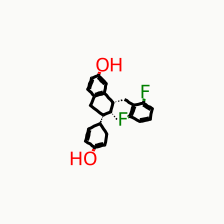 C[C@H]1[C@@H](Cc2c(F)cccc2F)c2cc(O)ccc2C[C@H]1C1C=CC(O)=CC1